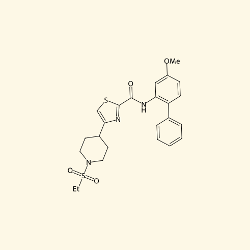 CCS(=O)(=O)N1CCC(c2csc(C(=O)Nc3cc(OC)ccc3-c3ccccc3)n2)CC1